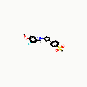 COc1ccc([C@@H](C)NC2CC[C@H](c3ccc(S(C)(=O)=O)cc3)C2)cc1F